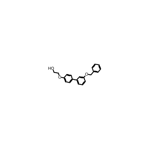 OCCOc1ccc(-c2cccc(OCc3ccccc3)c2)cc1